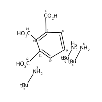 CC(C)(C)N.CC(C)(C)N.CC(C)(C)N.O=C(O)c1cccc(C(=O)O)c1C(=O)O